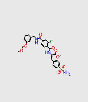 COCOc1cccc(CNC(=O)c2ccc(C(=O)NC(=Cc3ccc(S(N)(=O)=O)cc3)C(=O)OC)c(Cl)c2)c1